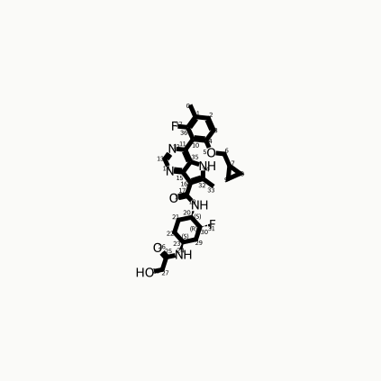 Cc1ccc(OCC2CC2)c(-c2ncnc3c(C(=O)N[C@H]4CC[C@H](NC(=O)CO)C[C@H]4F)c(C)[nH]c23)c1F